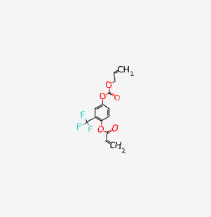 C=CCOC(=O)Oc1ccc(OC(=O)C=C)c(C(F)(F)F)c1